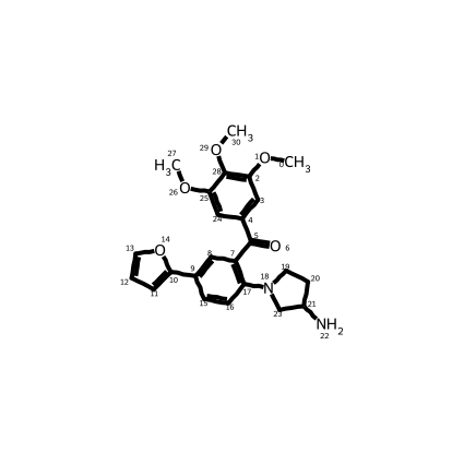 COc1cc(C(=O)c2cc(-c3ccco3)ccc2N2CCC(N)C2)cc(OC)c1OC